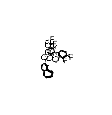 COc1c([C@H]2[C@H](OC(=O)c3ccc4ccccc4c3)O[C@@](C)(C(F)(F)F)[C@H]2C)ccc(F)c1F